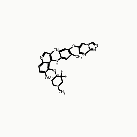 COc1ccc2ncc(C#N)c(Nc3ccc(Oc4cnc5nncn5c4)c(C)c3)c2c1O[C@@H]1CCN(C)CC1(F)F